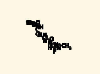 Cc1cn2cc(NC(=O)c3cnc(N4CCC(CNC(=O)OC(C)(C)C)C4)cn3)cc(F)c2n1